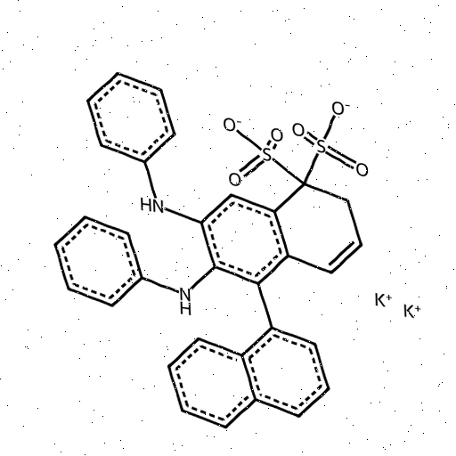 O=S(=O)([O-])C1(S(=O)(=O)[O-])CC=Cc2c1cc(Nc1ccccc1)c(Nc1ccccc1)c2-c1cccc2ccccc12.[K+].[K+]